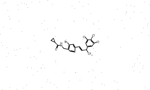 O=C(NCc1ccc(/C=C/C(c2cc(Cl)c(Cl)c(Cl)c2)C(F)(F)F)cc1Br)C1CC1